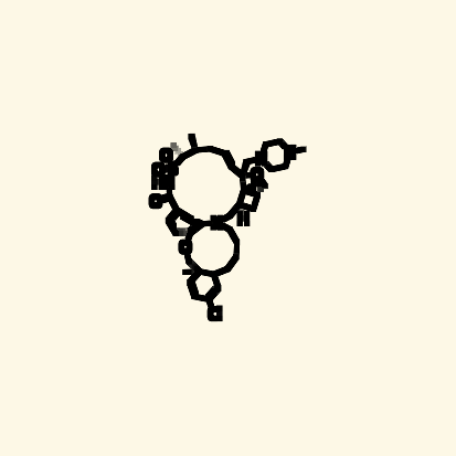 CO[C@@]1(CN2CCN(C)CC2)/C=C/C[C@H](C)[C@@H](C)S(=O)(=O)NC(=O)c2ccc3c(c2)N(CCCCC2C=C(Cl)C=CC2(C)CO3)C[C@@H]2CC[C@H]21